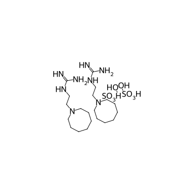 N=C(N)NCCN1CCCCCCC1.N=C(N)NCCN1CCCCCCC1.O=S(=O)(O)O.O=S(=O)(O)O